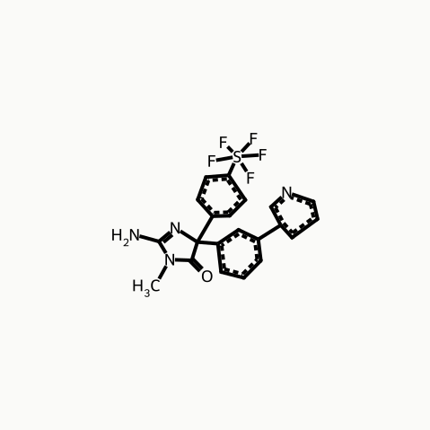 CN1C(=O)C(c2ccc(S(F)(F)(F)(F)F)cc2)(c2cccc(-c3cccnc3)c2)N=C1N